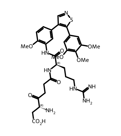 COc1ccc(-c2cnsc2-c2cc(OC)c(OC)c(OC)c2)cc1NC(=O)[C@@H](CCCNC(=N)N)NC(=O)CCC(=O)[C@H](N)CC(=O)O